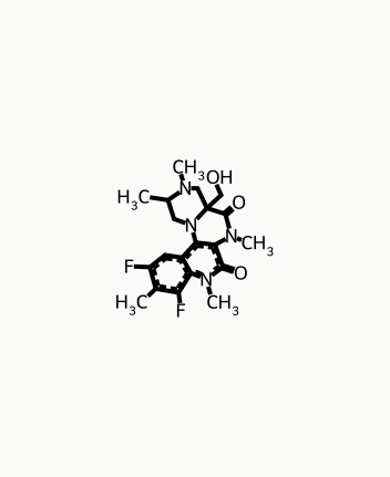 Cc1c(F)cc2c3c(c(=O)n(C)c2c1F)N(C)C(=O)C1(CO)CN(C)C(C)CN31